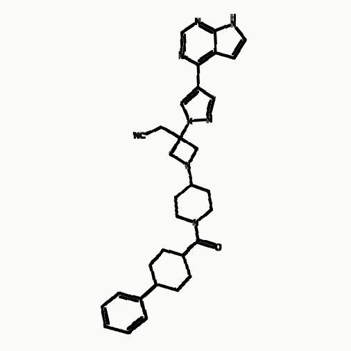 N#CCC1(n2cc(-c3ncnc4[nH]ccc34)cn2)CN(C2CCN(C(=O)C3CCC(c4ccccc4)CC3)CC2)C1